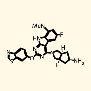 CNc1cc(F)cc2c1[nH]c1nc(Oc3ccc4ncsc4c3)nc(N3C[C@H]4C[C@@H](N)C[C@H]4C3)c12